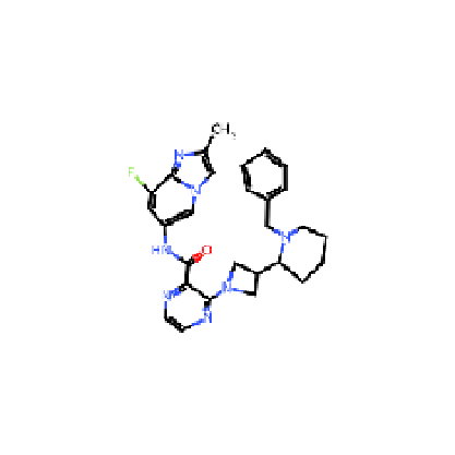 Cc1cn2cc(NC(=O)c3nccnc3N3CC(C4CCCCN4Cc4ccccc4)C3)cc(F)c2n1